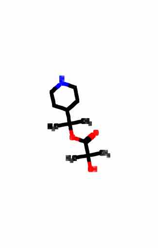 CC(C)(O)C(=O)OC(C)(C)C1CCNCC1